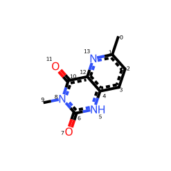 Cc1ccc2[nH]c(=O)n(C)c(=O)c2n1